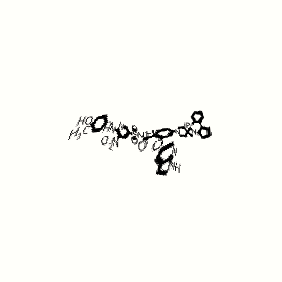 CC(C)c1ccccc1[C@H]1CCC[C@@H]1N1CC2(CCN(c3ccc(C(=O)NS(=O)(=O)c4cnc(NC[C@H]5CC[C@](C)(O)CC5)c([N+](=O)[O-])c4)c(Oc4cnc5[nH]ccc5c4)c3)CC2)C1